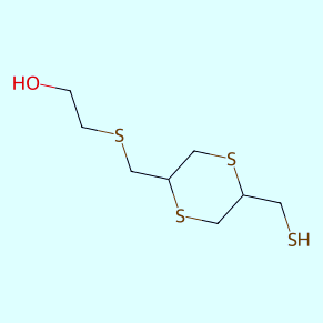 OCCSCC1CSC(CS)CS1